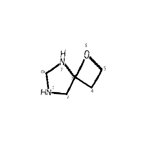 C1NCC2(CCO2)N1